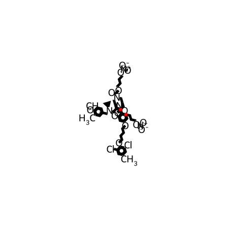 COc1ccc(CN(C(=O)C2=C(c3ccc(OCCCCOc4c(Cl)cc(C)cc4Cl)cc3)CC3CN(C(=O)OCCCCO[N+](=O)[O-])CC2N3C(=O)OCCCCO[N+](=O)[O-])C2CC2)cc1C